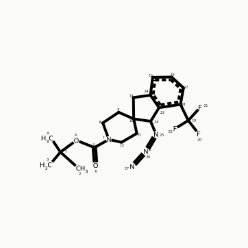 CC(C)(C)OC(=O)N1CCC2(CC1)Cc1cccc(C(F)(F)F)c1C2N=[N+]=[N-]